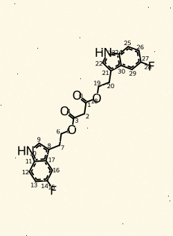 O=C(CC(=O)OCCc1c[nH]c2ccc(F)cc12)OCCc1c[nH]c2ccc(F)cc12